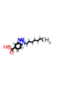 CCCCCCCn1nnc2cc(C(=O)O)ccc21